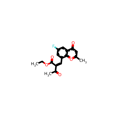 CCOC(=O)C(=Cc1cc(F)cc2c(=O)cc(C)oc12)C(C)=O